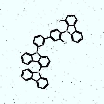 N#Cc1cc(-c2cccc(-n3c4ccccc4c4c(-n5c6ccccc6c6ccccc65)cccc43)c2)ccc1-n1c2ccccc2c2cccc(C#N)c21